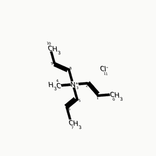 CC=C[N+](C)(C=CC)C=CC.[Cl-]